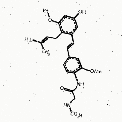 CCOc1cc(O)cc(/C=C/c2ccc(NC(=O)CNC(=O)O)c(OC)c2)c1CC=C(C)C